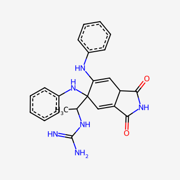 CC(NC(=N)N)C1(Nc2ccccc2)C=C2C(=O)NC(=O)C2C=C1Nc1ccccc1